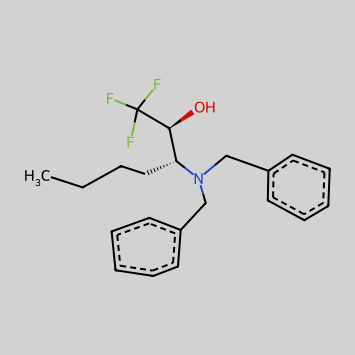 CCCC[C@H]([C@H](O)C(F)(F)F)N(Cc1ccccc1)Cc1ccccc1